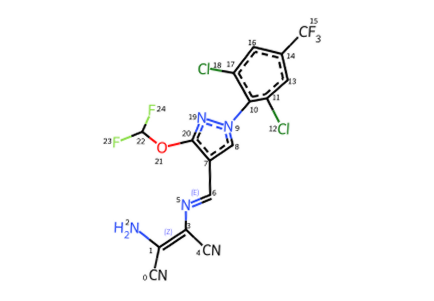 N#C/C(N)=C(C#N)/N=C/c1cn(-c2c(Cl)cc(C(F)(F)F)cc2Cl)nc1OC(F)F